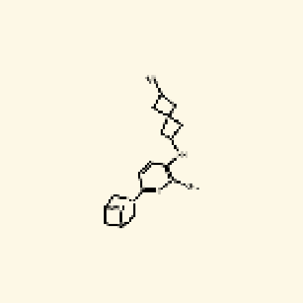 Cc1nc(N2CC3CC(C2)O3)ccc1NC1CC2(CC(N)C2)C1